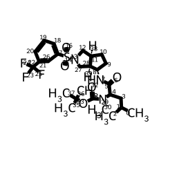 CC(C)CC(C(=O)N[C@H]1CC[C@@H]2CN(S(=O)(=O)c3cccc(C(F)(F)F)c3)C[C@@H]21)N(C)C(=O)OC(C)(C)C